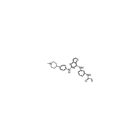 C=CC(=O)Nc1cccc(Nc2nc(Nc3ccc(C4CCN(C)CC4)cc3)nc3ccsc23)c1